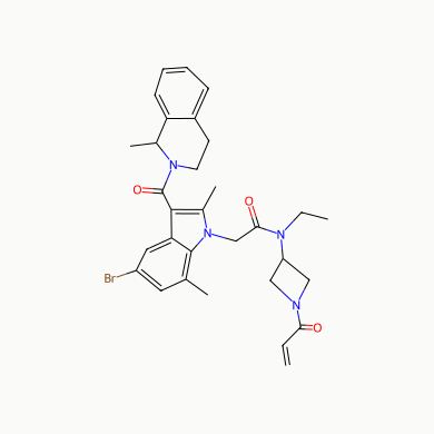 C=CC(=O)N1CC(N(CC)C(=O)Cn2c(C)c(C(=O)N3CCc4ccccc4C3C)c3cc(Br)cc(C)c32)C1